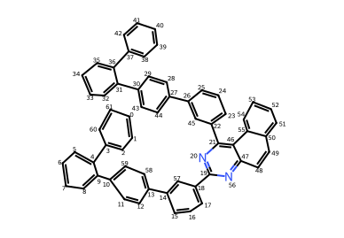 c1ccc(-c2ccccc2-c2ccc(-c3cccc(-c4nc(-c5cccc(-c6ccc(-c7ccccc7-c7ccccc7)cc6)c5)c5c(ccc6ccccc65)n4)c3)cc2)cc1